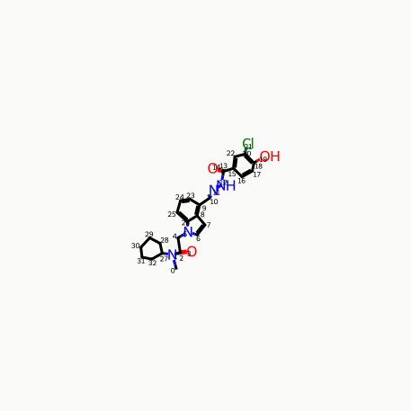 CN(C(=O)Cn1ccc2c(/C=N/NC(=O)c3ccc(O)c(Cl)c3)cccc21)C1CCCCC1